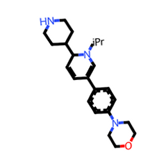 CC(C)N1C=C(c2ccc(N3CCOCC3)cc2)C=CC1C1CCNCC1